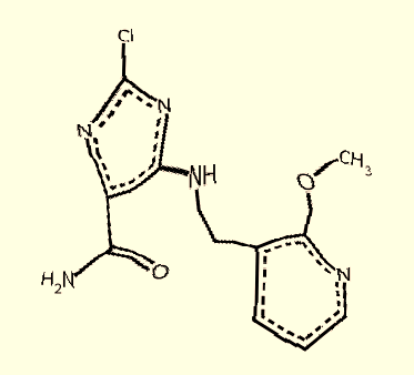 COc1ncccc1CNc1nc(Cl)ncc1C(N)=O